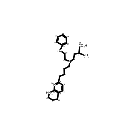 NC(CCN(CCCCc1ccc2c(n1)NCCC2)CCOc1ccccc1)C(=O)O